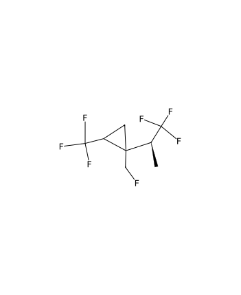 C[C@H](C(F)(F)F)C1(CF)CC1C(F)(F)F